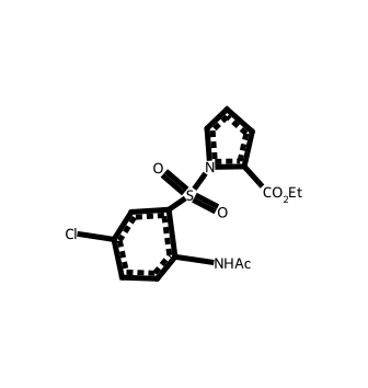 CCOC(=O)c1cccn1S(=O)(=O)c1cc(Cl)ccc1NC(C)=O